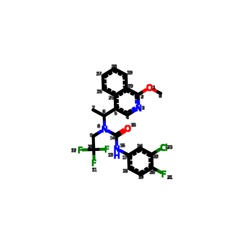 COc1ncc(C(C)N(CC(F)(F)F)C(=O)Nc2ccc(F)c(Cl)c2)c2ccccc12